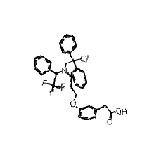 O=C(O)Cc1cccc(OCCCN(CC(Cl)(c2ccccc2)c2ccccc2)C(c2ccccc2)C(F)(F)F)c1